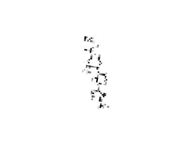 CCCc1nc(-c2nc(-c3ccc(NSC(F)(F)F)cc3Cl)cs2)no1